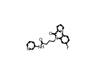 O=C(CCCn1c(=O)c2cccn2c2ccc(F)cc21)Nc1cccnc1